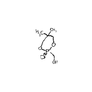 CC1(C)COP(=O)(CO)OC1